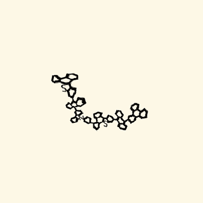 c1ccc2c(-c3ccc4c(c3)c3ccccc3n4-c3ccc(-c4cccc5c6sc7cc(-c8c9ccccc9c(-c9ccc%10c%11ccccc%11c%11ccccc%11c%10c9)c9ccccc89)ccc7c6c6ccccc6c45)cc3)c3ccccc3c(-c3ccc4c(c3)sc3c5ccccc5c5ccccc5c43)c2c1